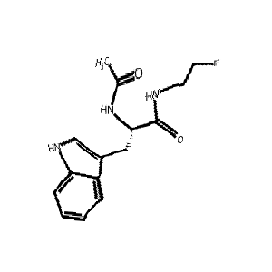 CC(=O)N[C@@H](Cc1c[nH]c2ccccc12)C(=O)NCCF